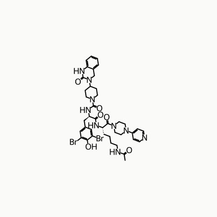 CC(=O)NCCCC[C@H](NC(=O)[C@@H](Cc1cc(Br)c(O)c(Br)c1)NC(=O)N1CCC(N2Cc3ccccc3NC2=O)CC1)C(=O)N1CCN(c2ccncc2)CC1